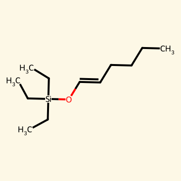 CCCC/C=C/O[Si](CC)(CC)CC